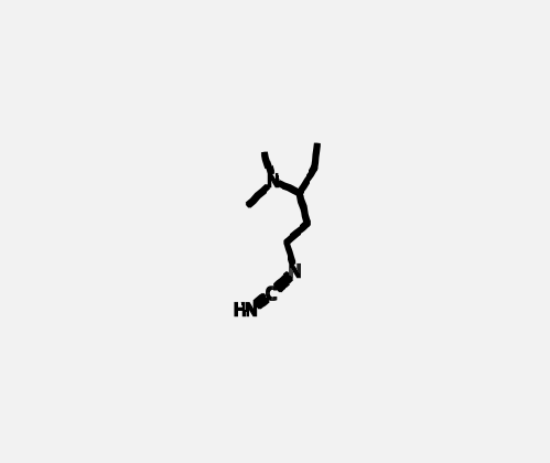 CCC(CCN=C=N)N(C)C